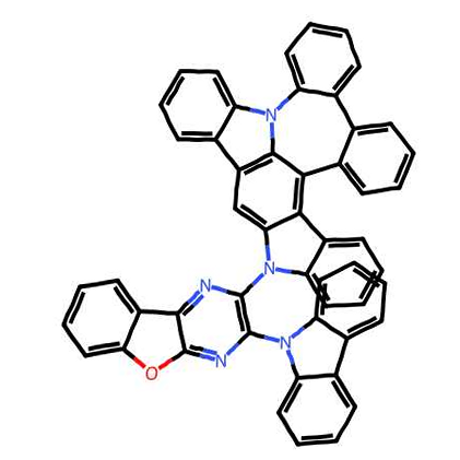 c1ccc2c(c1)-c1ccccc1-n1c3ccccc3c3cc4c(c-2c31)c1ccccc1n4-c1nc2c(nc1-n1c3ccccc3c3ccccc31)oc1ccccc12